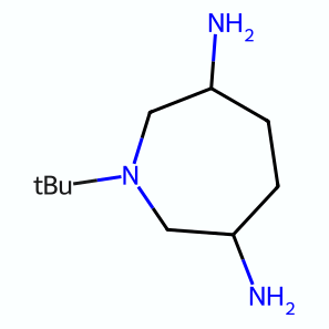 CC(C)(C)N1CC(N)CCC(N)C1